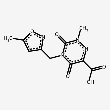 Cc1cc(Cn2c(=O)c(C(=O)O)nn(C)c2=O)no1